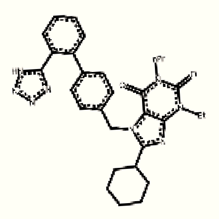 CCCn1c(=O)c2c(nc(C3CCCCC3)n2Cc2ccc(-c3ccccc3-c3nnn[nH]3)cc2)n(CC)c1=O